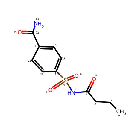 CCCC(=O)NS(=O)(=O)c1ccc(C(N)=O)cc1